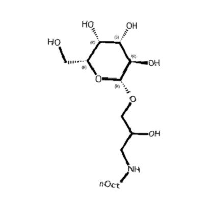 CCCCCCCCNCC(O)CO[C@@H]1O[C@H](CO)[C@H](O)[C@H](O)[C@H]1O